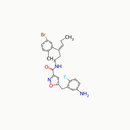 CC/C=C(/CCNC(=O)c1cc(Cc2cc(N)ccc2F)on1)c1cc(Br)ccc1C